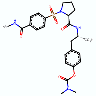 CCCNC(=O)c1ccc(S(=O)(=O)N2CCC[C@H]2C(=O)N[C@@H](Cc2ccc(OC(=O)N(C)C)cc2)C(=O)O)cc1